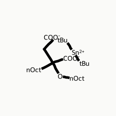 CCCCCCCCOC(CCCCCCCC)(CC(=O)[O-])C(=O)[O-].C[C](C)(C)[Sn+2][C](C)(C)C